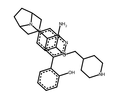 Nc1nnc(-c2ccccc2O)cc1N1CC2CCC(C1)N2c1ccc(OCC2CCNCC2)nc1